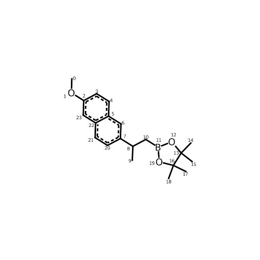 COc1ccc2cc(C(C)CB3OC(C)(C)C(C)(C)O3)ccc2c1